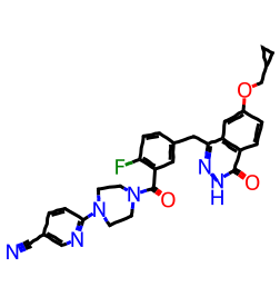 N#Cc1ccc(N2CCN(C(=O)c3cc(Cc4n[nH]c(=O)c5ccc(OCC6CC6)cc45)ccc3F)CC2)nc1